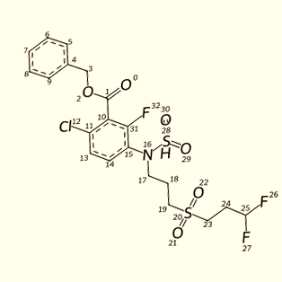 O=C(OCc1ccccc1)c1c(Cl)ccc(N(CCCS(=O)(=O)CCC(F)F)[SH](=O)=O)c1F